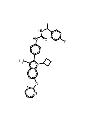 CC(NC(=O)Nc1ccc(-c2c(N)c3ccc(Oc4ncccn4)cc3n2C2CCC2)cc1)c1ccc(F)cc1